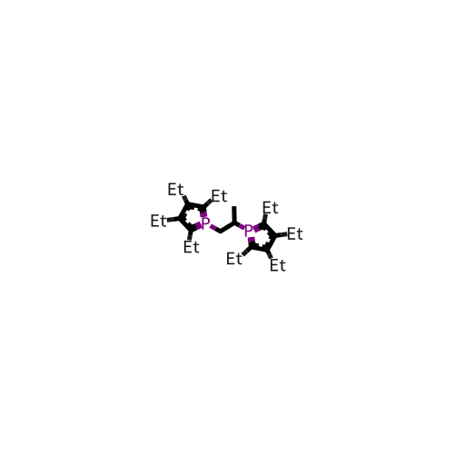 CCc1c(CC)c(CC)p(CC(C)p2c(CC)c(CC)c(CC)c2CC)c1CC